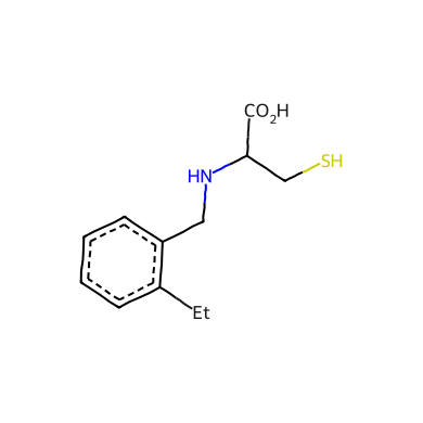 CCc1ccccc1CNC(CS)C(=O)O